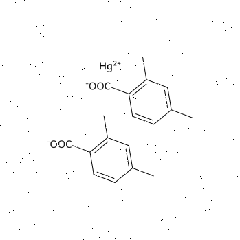 Cc1ccc(C(=O)[O-])c(C)c1.Cc1ccc(C(=O)[O-])c(C)c1.[Hg+2]